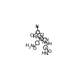 CNC(=O)N1CCC[C@@H](Nc2ncc3nc(Nc4c(Cl)cc(C#N)cc4Cl)n(C4CCC(C(N)=O)CC4)c3n2)C1